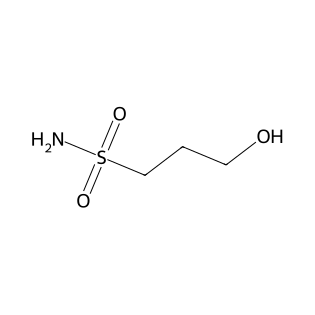 NS(=O)(=O)CCCO